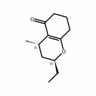 CC[C@H]1C[C@H](C)C2=C(CCCC2=O)O1